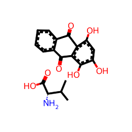 CC(C)[C@H](N)C(=O)O.O=C1c2ccccc2C(=O)c2c(O)c(O)cc(O)c21